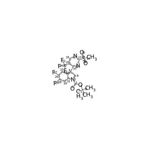 CC(C)(C)OC(=O)n1cc(-c2nc(S(C)(=O)=O)ncc2C(F)(F)F)c2cc(F)c(F)cc21